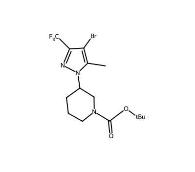 Cc1c(Br)c(C(F)(F)F)nn1C1CCCN(C(=O)OC(C)(C)C)C1